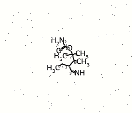 CCC(C=N)C(C)C(C)(C)OC(N)=O